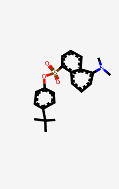 CN(C)c1cccc2c(S(=O)(=O)Oc3ccc(C(C)(C)C)cc3)cccc12